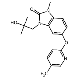 Cn1c(=O)n(CC(C)(C)O)c2cc(Oc3ccc(C(F)(F)F)cn3)ccc21